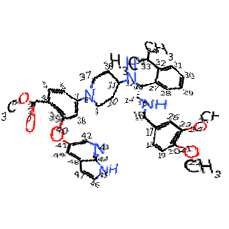 COC(=O)c1ccc(N2CCC(N[C@@H](CNCc3ccc(OC)c(OC)c3)c3ccccc3C(C)C)CC2)cc1Oc1cnc2[nH]ccc2c1